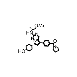 COC[C@H](C)Nc1ncc2c(-c3ccc(C(=O)N4CCCC4)cc3)cc([C@H]3CC[C@H](O)CC3)n2n1